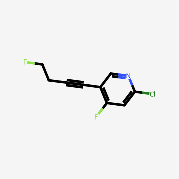 FCCC#Cc1cnc(Cl)cc1F